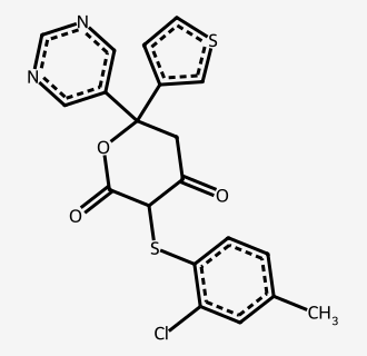 Cc1ccc(SC2C(=O)CC(c3cncnc3)(c3ccsc3)OC2=O)c(Cl)c1